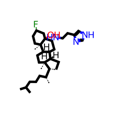 CC(C)CCC[C@@H](C)[C@H]1CC[C@H]2[C@@H]3C[C@@H](NCCc4c[nH]cn4)[C@@]4(O)C[C@@H](F)CC[C@]4(C)[C@H]3CC[C@]12C